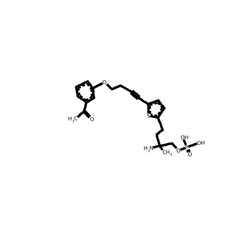 CC(=O)c1cccc(OCCC#Cc2ccc(CCC(C)(N)COP(=O)(O)O)s2)c1